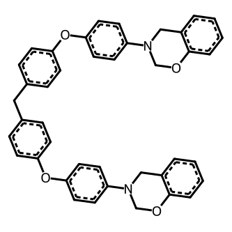 c1ccc2c(c1)CN(c1ccc(Oc3ccc(Cc4ccc(Oc5ccc(N6COc7ccccc7C6)cc5)cc4)cc3)cc1)CO2